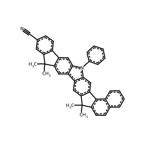 CC1(C)c2cc(C#N)ccc2-c2cc3c(cc21)c1cc2c(cc1n3-c1ccccc1)-c1c(ccc3ccccc13)C2(C)C